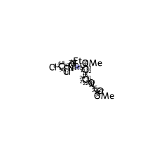 CCn1cc(-c2ccc(Cl)cc2Cl)nc1/C=C/c1cc(-c2cccc(OCCCC(=O)OC)c2)ccc1OC